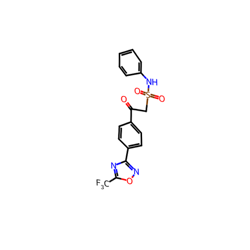 O=C(CS(=O)(=O)Nc1ccccc1)c1ccc(-c2noc(C(F)(F)F)n2)cc1